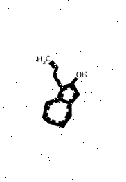 C=CCc1c(O)cc2cccccc1-2